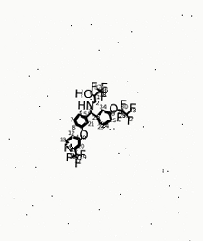 OC(CNC(c1cccc(Oc2ccnc(C(F)(F)F)c2)c1)c1cccc(OC(F)(F)C(F)F)c1)C(F)(F)F